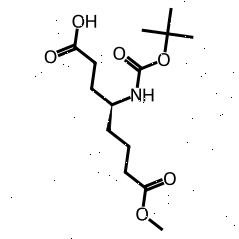 COC(=O)CCC[C@@H](CCC(=O)O)NC(=O)OC(C)(C)C